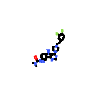 CN(C)C(=O)Nc1ccc2[nH]c3c(N4CCN(CCc5ccc(F)c(F)c5)CC4)ncnc3c2c1